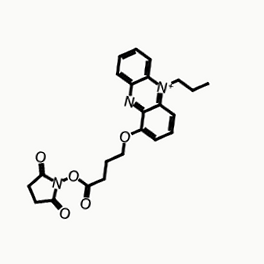 CCC[n+]1c2ccccc2nc2c(OCCCC(=O)ON3C(=O)CCC3=O)cccc21